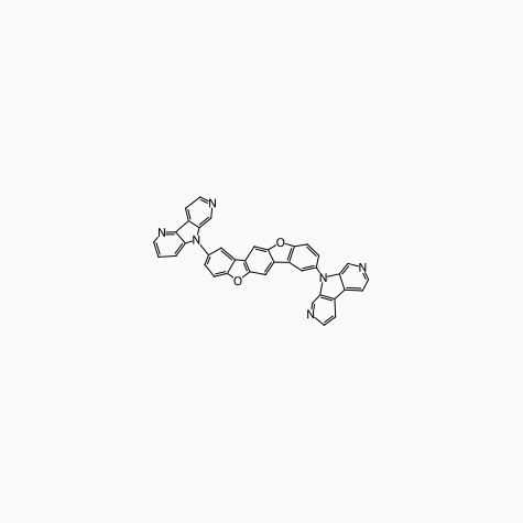 c1cnc2c3ccncc3n(-c3ccc4oc5cc6c(cc5c4c3)oc3ccc(-n4c5cnccc5c5ccncc54)cc36)c2c1